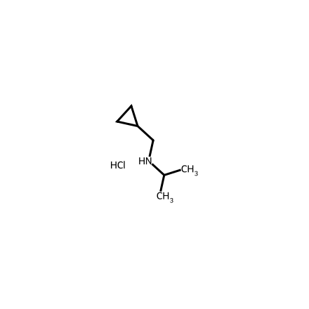 CC(C)NCC1CC1.Cl